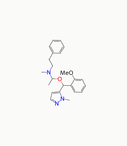 COc1ccccc1C(OC(C)N(C)CCc1ccccc1)c1ccnn1C